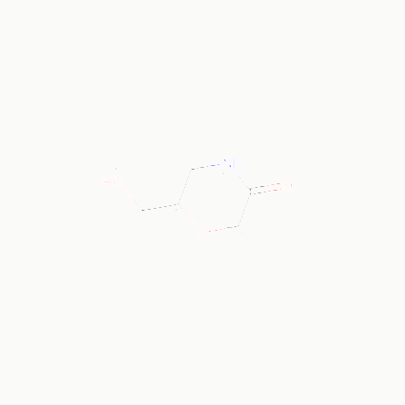 O=C1COC(CO)CN1